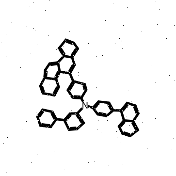 c1ccc(-c2cccc(N(c3ccc(-c4cccc5ccccc45)cc3)c3ccc(-c4cc5ccccc5c5ccc6ccccc6c45)cc3)c2)cc1